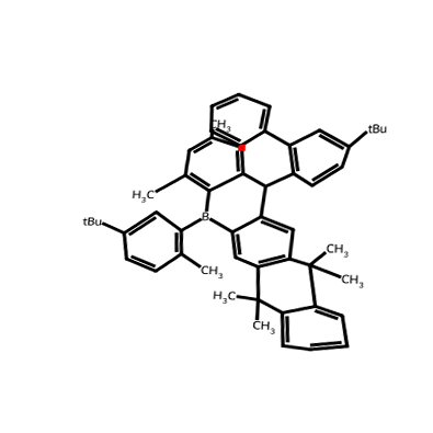 Cc1cc(C)c2c(c1)C(c1ccc(C(C)(C)C)cc1-c1ccccc1)c1cc3c(cc1B2c1cc(C(C)(C)C)ccc1C)C(C)(C)c1ccccc1C3(C)C